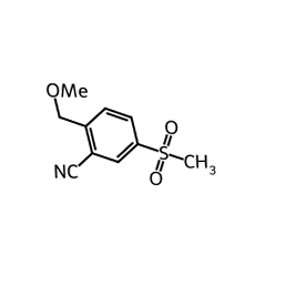 COCc1ccc(S(C)(=O)=O)cc1C#N